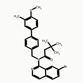 COc1ccc(-c2ccc(CN(C(=O)CC(C)(C)C)c3nccc4ccc(Br)cc34)cc2)cc1C